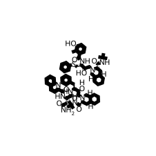 CC(C)(C)NC(=O)[C@@H]1C[C@@H]2CCCC[C@@H]2CN1C[C@@H](O)[C@H](Cc1ccccc1)NC(=O)[C@H](CC(N)=O)NC(=O)c1ccc2ccccc2n1.Cc1c(O)cccc1C(=O)N[C@@H](CSc1ccccc1)[C@H](O)CN1C[C@H]2CCCC[C@H]2C[C@H]1C(=O)NC(C)(C)C